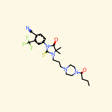 CCCC(=O)N1CCN(CCCN2C(=S)N(c3ccc(C#N)c(C(F)(F)F)c3)C(=O)C2(C)C)CC1